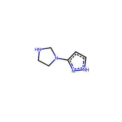 c1cc(N2CCNC2)n[nH]1